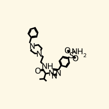 CC(C)C(C(=O)NCCN1CCN(Cc2ccccc2)CC1)n1cc(-c2ccc(S(N)(=O)=O)cc2)nn1